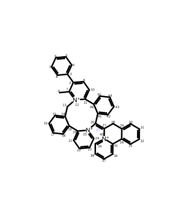 Cc1c(-c2ccccc2)ccc2[n+]1Cc1ccccc1-c1cccc[n+]1/C(=C1/Cc3ccccc3-c3cccc[n+]31)c1ccccc1-2